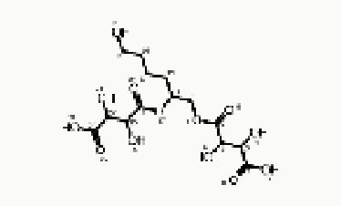 O=C(O)C(O)C(O)C(=O)OCC(CCCCO)OC(=O)C(O)C(O)C(=O)O